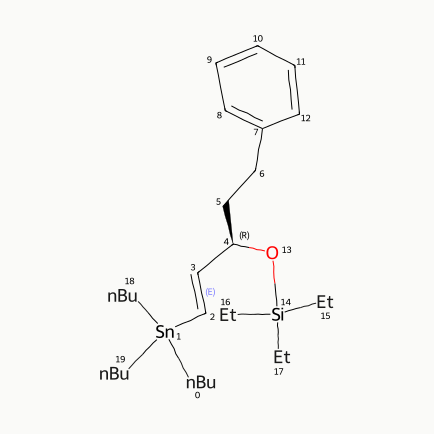 CCC[CH2][Sn](/[CH]=C/[C@@H](CCc1ccccc1)O[Si](CC)(CC)CC)([CH2]CCC)[CH2]CCC